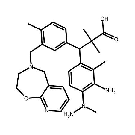 Cc1ccc(C(c2ccc(N(C)N)c(N)c2C)C(C)(C)C(=O)O)cc1CN1CCOc2ncccc2C1